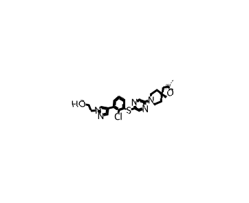 C[C@H]1CC2(CCN(c3cnc(Sc4cccc(-c5cnn(CCO)c5)c4Cl)cn3)CC2)CO1